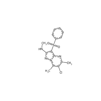 CNc1nn2c(C)c(Cl)c(C)nc2c1S(=O)(=O)c1ccccc1